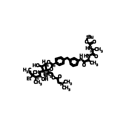 C=C[C@@](C)(CC)[C@H](C)[C@@H](O)C[C@@]1(C)C(O)[C@H]2O[C@@H](c3ccc(Cc4cccc(NC(=O)[C@H](C)NC(=O)[C@H](C)NC(=O)OC(C)(C)C)c4)cc3)O[C@]21C(=O)COC(=O)CN(C)C